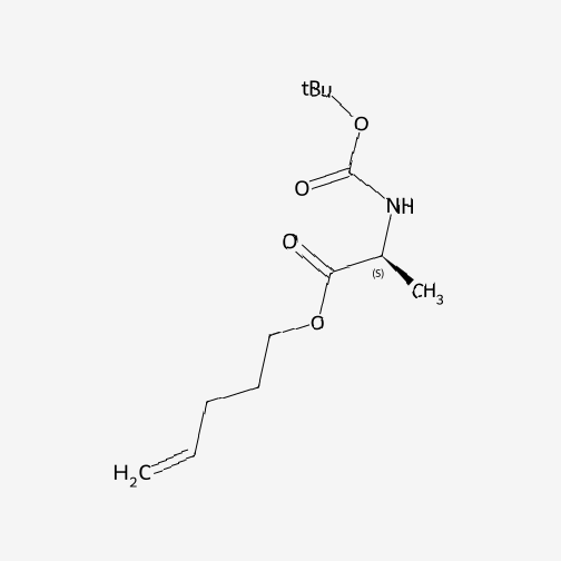 C=CCCCOC(=O)[C@H](C)NC(=O)OC(C)(C)C